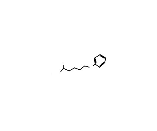 NC(CCCCOc1ccccc1)C(=O)O